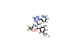 Cc1cc(C(=O)N(CC2CC2(F)F)C(C)c2ncnn2-c2ccccn2)cc(C(F)(F)F)c1